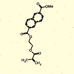 C=C(C)C(=O)OCCOC(=O)c1ccc2cc(C(=O)OC)ccc2c1